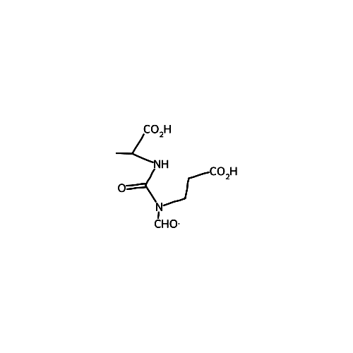 CC(NC(=O)N([C]=O)CCC(=O)O)C(=O)O